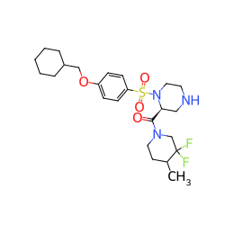 CC1CCN(C(=O)[C@@H]2CNCCN2S(=O)(=O)c2ccc(OCC3CCCCC3)cc2)CC1(F)F